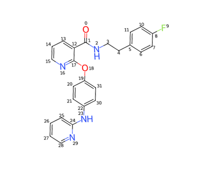 O=C(NCCc1ccc(F)cc1)c1cccnc1Oc1ccc(Nc2ccccn2)cc1